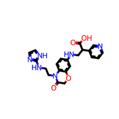 O=C(O)C(CNc1ccc2c(c1)OCC(=O)N2CCNc1ncc[nH]1)c1cccnc1